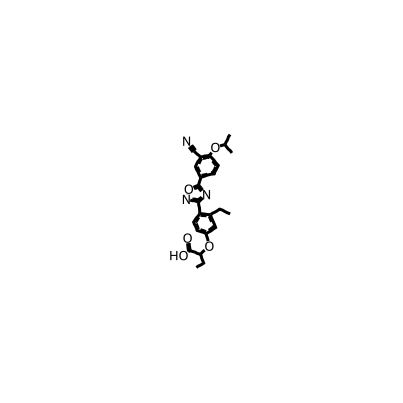 CCc1cc(OC(CC)C(=O)O)ccc1-c1noc(-c2ccc(OC(C)C)c(C#N)c2)n1